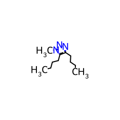 CCCCc1nnn(C)c1CCCC